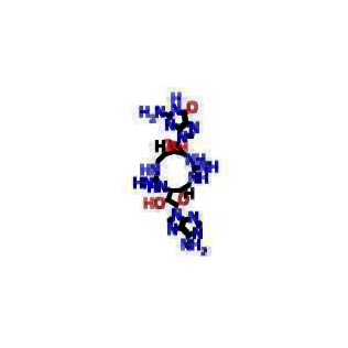 N=C1NC[C@H]2O[C@@H](n3cnc4c(N)ncnc43)C(O)C2NC(=N)NC[C@H]2O[C@@H](n3cnc4c(=O)[nH]c(N)nc43)C(N1)C2O